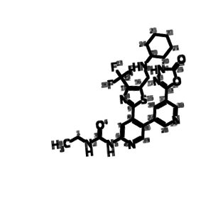 CCNC(=O)Nc1cc(-c2nc(C(F)(F)F)c(CNC3CCCCC3)s2)c(-c2cncc(-c3n[nH]c(=O)o3)c2)cn1